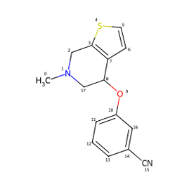 CN1Cc2sccc2C(Oc2cccc(C#N)c2)C1